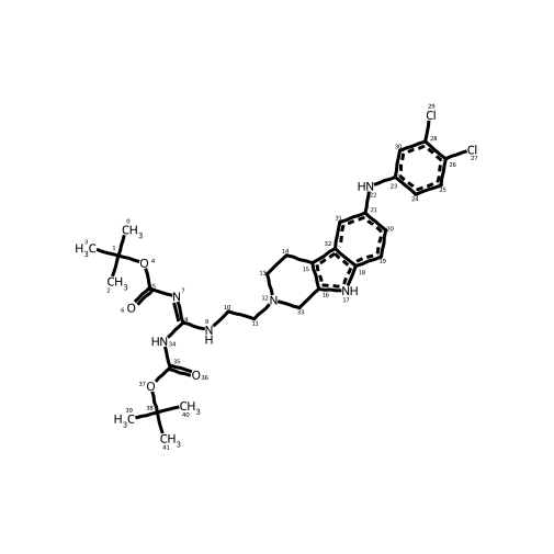 CC(C)(C)OC(=O)N=C(NCCN1CCc2c([nH]c3ccc(Nc4ccc(Cl)c(Cl)c4)cc23)C1)NC(=O)OC(C)(C)C